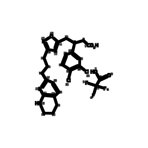 O=C(O)C(F)(F)F.O=C(O)CC(Cc1nc(CCCc2ccc3c(n2)NCCC3)no1)c1ccc(Cl)c(Cl)c1